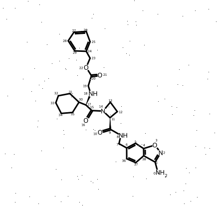 Nc1noc2cc(CNC(=O)[C@@H]3CCN3C(=O)[C@H](NCC(=O)OCc3ccccc3)C3CCCCC3)ccc12